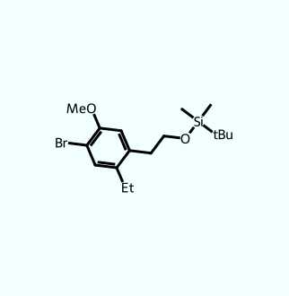 CCc1cc(Br)c(OC)cc1CCO[Si](C)(C)C(C)(C)C